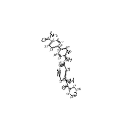 CN(C)C(=O)c1ccc(-c2ccc(Nc3cncc(NC(=O)C4CCOCC4)c3)nc2)cc1